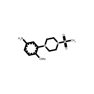 COc1ccc(N)cc1N1CCN(S(C)(=O)=O)CC1